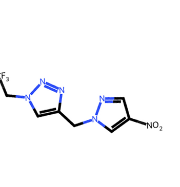 O=[N+]([O-])c1cnn(Cc2cn(CC(F)(F)F)nn2)c1